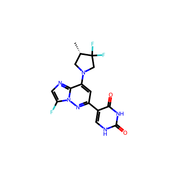 C[C@H]1CN(c2cc(-c3c[nH]c(=O)[nH]c3=O)nn3c(F)cnc23)CC1(F)F